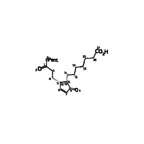 CCCCCC(=O)CC[C@H]1C=CC(=O)[C@H]1CCCCCCC(=O)O